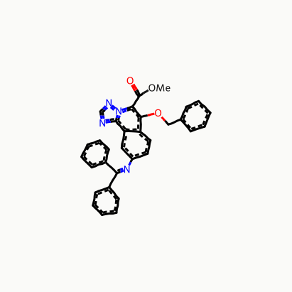 COC(=O)c1c(OCc2ccccc2)c2ccc(N=C(c3ccccc3)c3ccccc3)cc2c2ncnn12